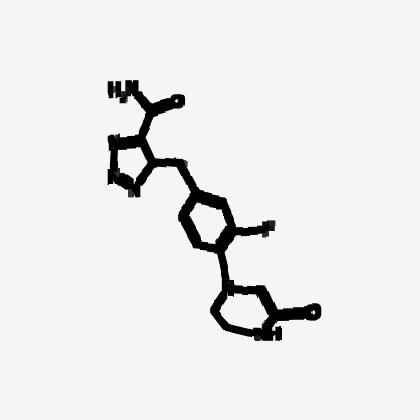 NC(=O)C1=NN=NC1[CH]c1ccc(N2CCNC(=O)C2)c(F)c1